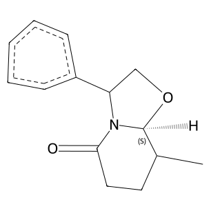 CC1CCC(=O)N2C(c3ccccc3)CO[C@@H]12